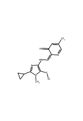 CCSc1c(N/C=C2/N=CC(C(F)(F)F)=CC2=N)nc(C2CC2)n1C